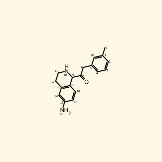 Cc1cccc(CC(=O)C2NCCc3cc(N)ccc32)c1